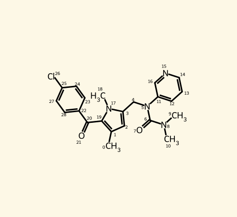 Cc1cc(CN(C(=O)N(C)C)c2cccnc2)n(C)c1C(=O)c1ccc(Cl)cc1